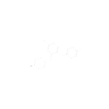 Cc1ccc(Oc2cnc(N)nc2N[C@H]2CC[C@H](O)CC2)cc1